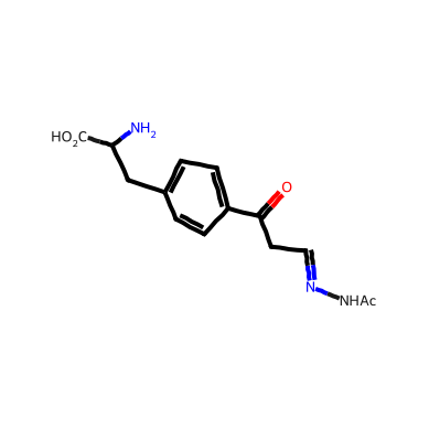 CC(=O)N/N=C/CC(=O)c1ccc(CC(N)C(=O)O)cc1